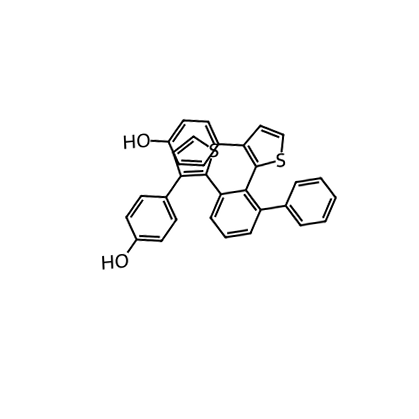 Oc1ccc(-c2ccsc2-c2cccc(-c3ccccc3)c2-c2sccc2-c2ccc(O)cc2)cc1